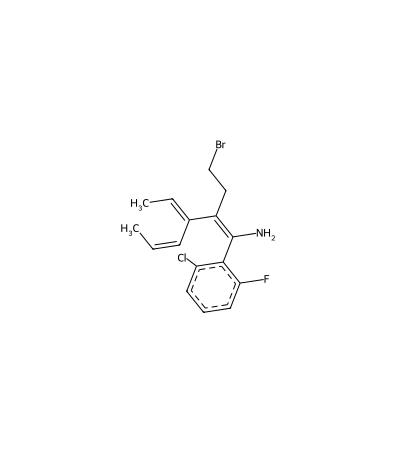 C\C=C/C(=C\C)C(/CCBr)=C(/N)c1c(F)cccc1Cl